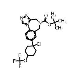 CC(C)(C)OC(=O)N1Cc2cc(C3(Cl)CCC(OC(F)(F)F)CC3)ccc2-n2cnnc2C1